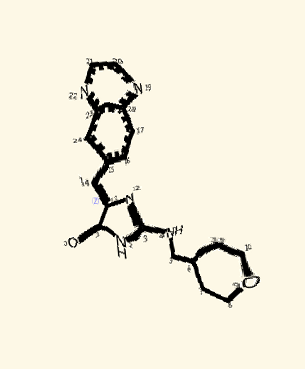 O=C1NC(NCC2CCOCC2)=N/C1=C\c1ccc2nccnc2c1